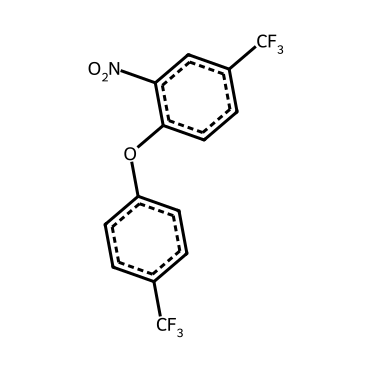 O=[N+]([O-])c1cc(C(F)(F)F)ccc1Oc1ccc(C(F)(F)F)cc1